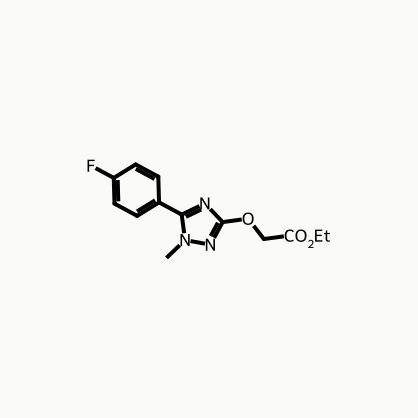 CCOC(=O)COc1nc(-c2ccc(F)cc2)n(C)n1